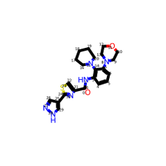 O=C(Nc1cccc(N2CCOCC2)c1N1CCCCC1)c1csc(-c2cn[nH]c2)n1